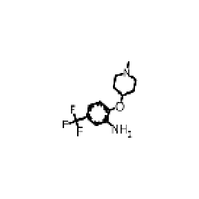 CN1CCC(Oc2ccc(C(F)(F)F)cc2N)CC1